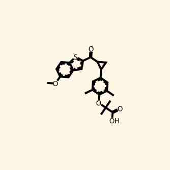 COc1ccc2sc(C(=O)C3CC3c3cc(C)c(OC(C)(C)C(=O)O)c(C)c3)cc2c1